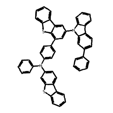 c1ccc(-c2ccc3c4ccccc4n(-c4cc(-c5ccc(N(c6ccccc6)c6ccc7c(c6)sc6ccccc67)cc5)c5sc6ccccc6c5c4)c3c2)cc1